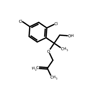 C=C(C)COC(C)(CO)c1ccc(Cl)cc1Cl